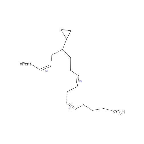 CCCCC/C=C\CC(CC/C=C\C/C=C\CCCC(=O)O)C1CC1